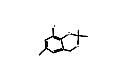 Cc1cc(C=O)c2c(c1)COC(C)(C)O2